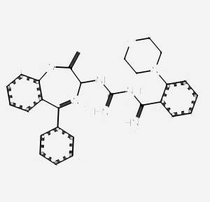 C=C1Nc2ccccc2C(c2ccccc2)=NC1NC(=N)NC(=N)c1ccccc1N1CCOCC1